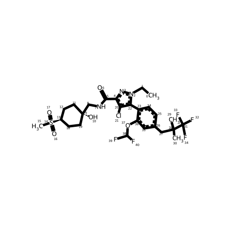 CCn1nc(C(=O)NC[C@]2(O)CC[C@H](S(C)(=O)=O)CC2)c(Cl)c1-c1ccc(CC(C)(C)C(F)(F)F)cc1OC(F)F